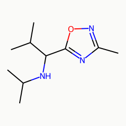 Cc1noc(C(NC(C)C)C(C)C)n1